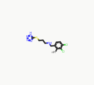 CCCc1c(CNCCCSc2nnn[nH]2)ccc(Cl)c1Cl